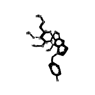 CCCCOC[C@H]1O[C@]2(OCc3cc4ccn(Cc5ccc(CC)cc5)c4cc32)[C@H](OCCCC)[C@@H](OCCCC)[C@@H]1OCCCC